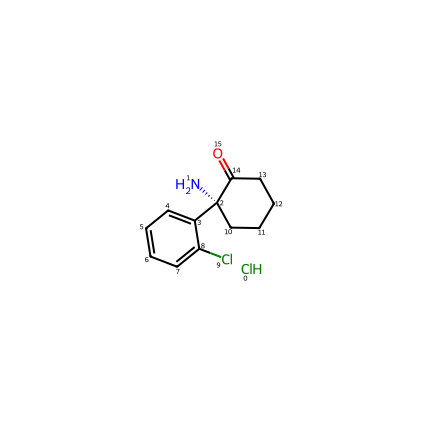 Cl.N[C@@]1(c2ccccc2Cl)CCCCC1=O